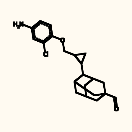 Nc1ccc(OCC2CC2C2C3CC4CC2CC(C=O)(C4)C3)c(Cl)c1